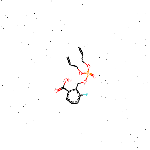 C=CCOP(=O)(OCC=C)OCc1c(F)cccc1C(=O)O